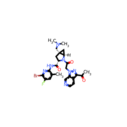 CC(=O)c1nn(CC(=O)N2[C@H](C(=O)Nc3nc(Br)c(F)cc3C)C[C@@]3(CN(C)C)C[C@@H]23)c2cnccc12